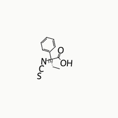 CC[C@@](N=C=S)(C(=O)O)c1ccccc1